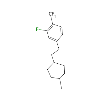 CC1CCC(CCc2ccc(C(F)(F)F)c(F)c2)CC1